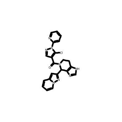 O=C(c1cnn(-c2ccccn2)c1Cl)N1CCc2[nH]cnc2C1c1cc2ccccn2n1